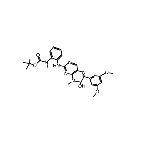 COc1cc(OC)cc(C2=Nc3cnc(Nc4ccccc4NC(=O)OC(C)(C)C)nc3N(C)C2O)c1